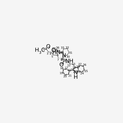 CC(=O)CCCCC[C@@H](C(=O)NCCc1c(-c2ccccc2)[nH]c2ccccc12)N1CCCC[C@@H]1NC=O